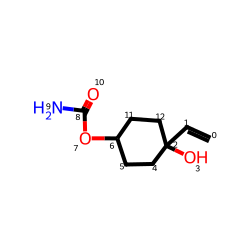 C=CC1(O)CCC(OC(N)=O)CC1